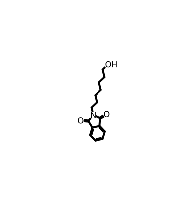 O=C1c2ccccc2C(=O)N1CCCCCCCO